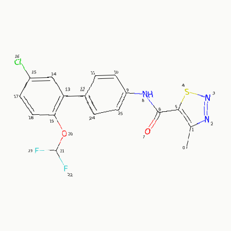 Cc1nnsc1C(=O)Nc1ccc(-c2cc(Cl)ccc2OC(F)F)cc1